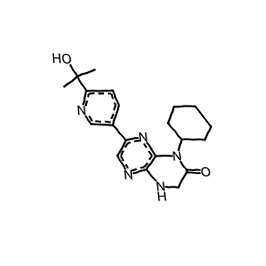 CC(C)(O)c1ccc(-c2cnc3c(n2)N(C2CCCCC2)C(=O)CN3)cn1